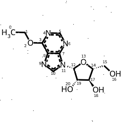 CCOc1ncnc2c1ncn2[C@@H]1O[C@H](CO)[C@@H](O)[C@@H]1O